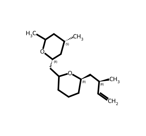 C=C[C@H](C)C[C@H]1CCCC(C[C@H]2C[C@@H](C)CC(C)O2)O1